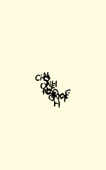 Cn1cc(S(=O)(=O)NC2(C)CC(F)(F)C2)c(F)c1C(=O)Nc1ccnc(Cl)c1